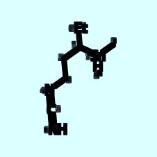 CC[CH](CCN=C=N)[SnH]([CH3])[CH3]